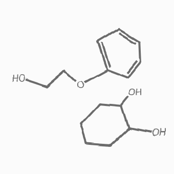 OC1CCCCC1O.OCCOc1ccccc1